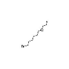 C=CCOCCCCCCBr